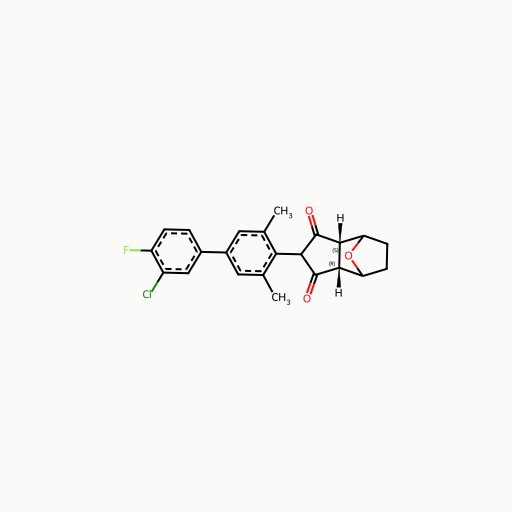 Cc1cc(-c2ccc(F)c(Cl)c2)cc(C)c1C1C(=O)[C@@H]2C3CCC(O3)[C@@H]2C1=O